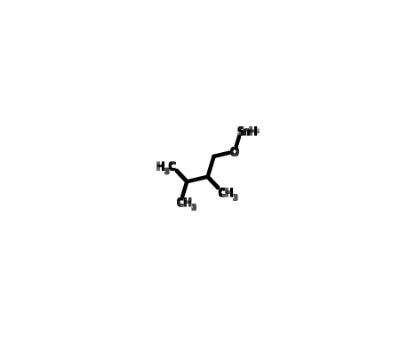 CC(C)C(C)C[O][SnH]